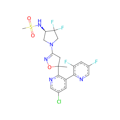 CC1(c2ncc(Cl)cc2-c2ncc(F)cc2F)CC(N2C[C@@H](NS(C)(=O)=O)C(F)(F)C2)=NO1